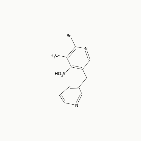 Cc1c(Br)ncc(Cc2cccnc2)c1S(=O)(=O)O